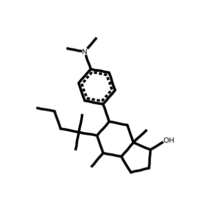 CCCC(C)(C)C1C(c2ccc(N(C)C)cc2)CC2(C)C(O)CCC2C1C